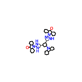 O=c1c2ccccc2n(C2N=CC(c3cc(C4CNC(n5c6ccccc6c(=O)c6ccccc65)NC4)cc(-n4c5ccccc5c5ccccc54)c3)CN2)c2ccccc12